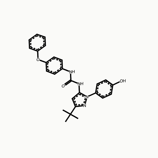 CC(C)(C)c1cc(NC(=O)Nc2ccc(Oc3ccccc3)cc2)n(-c2ccc(O)cc2)n1